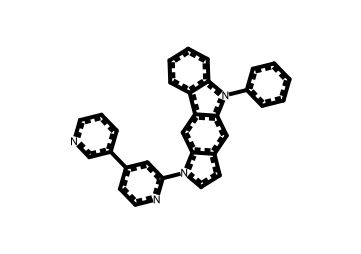 c1ccc(-n2c3ccccc3c3cc4c(ccn4-c4cc(-c5cccnc5)ccn4)cc32)cc1